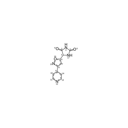 O=C1NC(=O)C(c2cc(-c3ccncc3)no2)N1